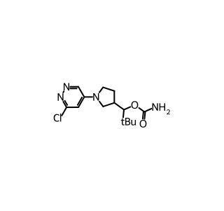 CC(C)(C)C(OC(N)=O)C1CCN(c2cnnc(Cl)c2)C1